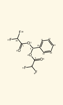 O=C(OI(OC(=O)C(F)F)c1ccccc1)C(F)F